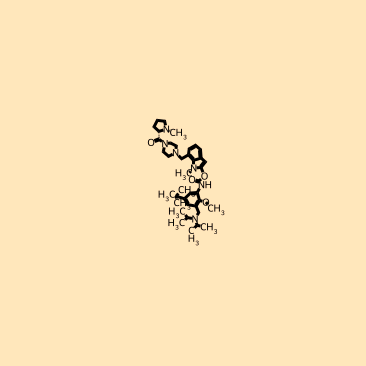 COc1c(CN(C(C)C)C(C)C)cc(C(C)(C)C)cc1NC(=O)Oc1cc2cccc(CN3CCN(C(=O)[C@@H]4CCCN4C)CC3)c2n1C